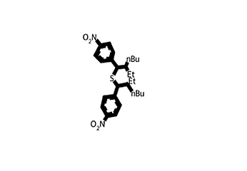 CCCCC(CC)C(SC(c1ccc([N+](=O)[O-])cc1)C(CC)CCCC)c1ccc([N+](=O)[O-])cc1